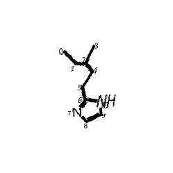 CCC(C)CCc1ncc[nH]1